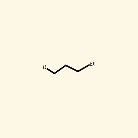 CCCC[CH2][U]